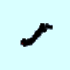 CCC(C)n1ncn(-c2ccc(N3CCN(c4ccc(OC[C@@H]5CO[C@@H](c6ccc7ncsc7c6)O5)cc4)CC3)cc2)c1=O